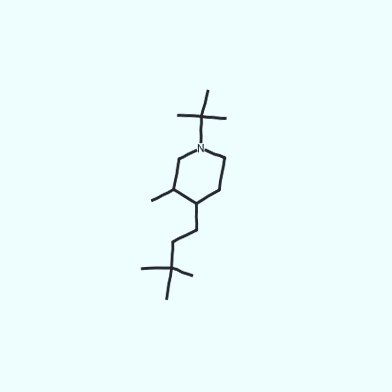 CC1CN(C(C)(C)C)CCC1CCC(C)(C)C